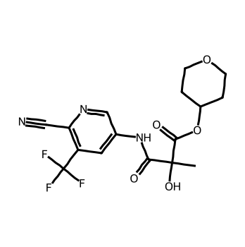 CC(O)(C(=O)Nc1cnc(C#N)c(C(F)(F)F)c1)C(=O)OC1CCOCC1